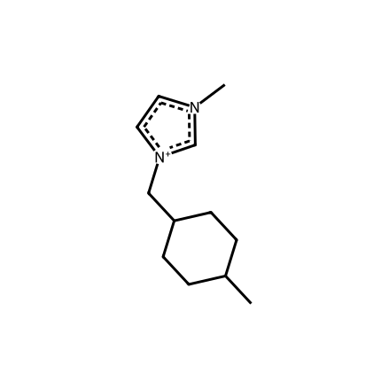 CC1CCC(C[n+]2ccn(C)c2)CC1